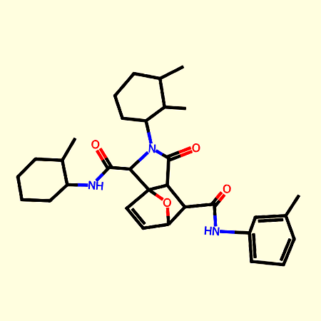 Cc1cccc(NC(=O)C2C3C=CC4(O3)C2C(=O)N(C2CCCC(C)C2C)C4C(=O)NC2CCCCC2C)c1